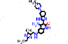 CCC1=NC(CNc2ccc3[nH]c(=O)c(-c4nc5ccc(N6CCN(C)CC6)cc5[nH]4)c(N)c3c2)C(C)=N1